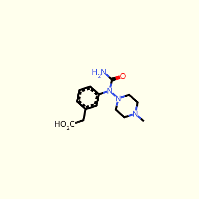 CN1CCN(N(C(N)=O)c2cccc(CC(=O)O)c2)CC1